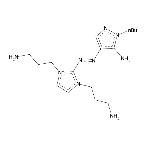 CCCCn1ncc(/N=N/c2n(CCCN)cc[n+]2CCCN)c1N